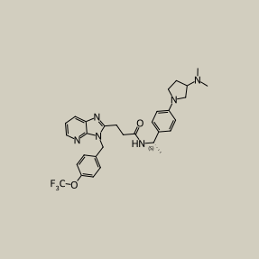 C[C@H](NC(=O)CCc1nc2cccnc2n1Cc1ccc(OC(F)(F)F)cc1)c1ccc(N2CCC(N(C)C)C2)cc1